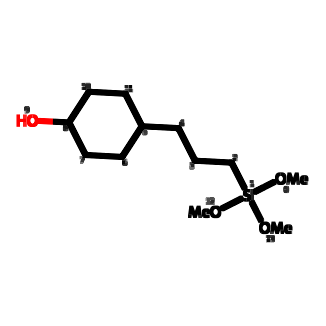 CO[Si](CCCC1CCC(O)CC1)(OC)OC